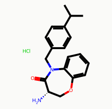 CC(C)c1ccc(CN2C(=O)[C@@H](N)COc3ccccc32)cc1.Cl